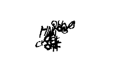 COCCS(=O)(=O)c1ccc(C(CO)c2nc3c(Cl)c(-c4ccccc4OC(F)(F)F)c(Cl)cc3[nH]2)cc1